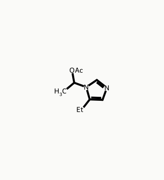 CCc1cncn1C(C)OC(C)=O